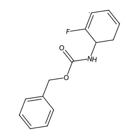 O=C(NC1CC=C[C]=C1F)OCc1ccccc1